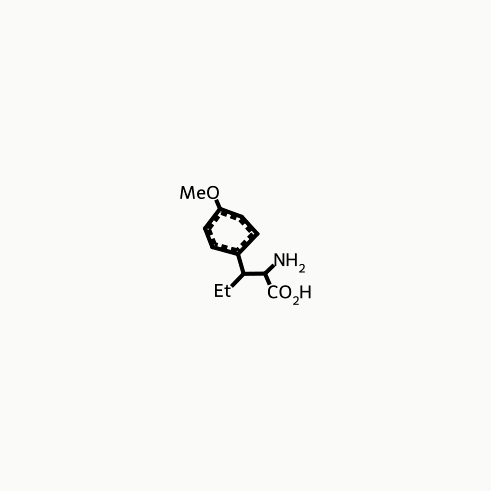 CCC(c1ccc(OC)cc1)C(N)C(=O)O